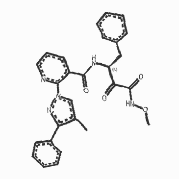 CONC(=O)C(=O)[C@H](Cc1ccccc1)NC(=O)c1cccnc1-n1cc(C)c(-c2ccccc2)n1